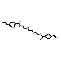 CC=Cc1ccc(C(=O)OCCOCCOCCOC(=O)c2ccc(C=CC)cc2)cc1